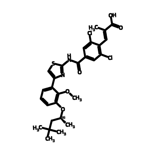 COc1c(O[C@@H](C)CC(C)(C)C)cccc1-c1csc(NC(=O)c2cc(Cl)c(C=C(C)C(=O)O)c(Cl)c2)n1